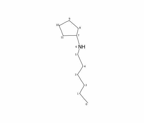 CCCCCCNC1CCCC1